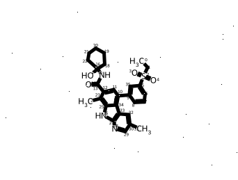 CCS(=O)(=O)c1cccc(-c2cc(C(=O)NC3(O)CCCCC3)c(C)c3[nH]c4ncc(C)cc4c23)c1